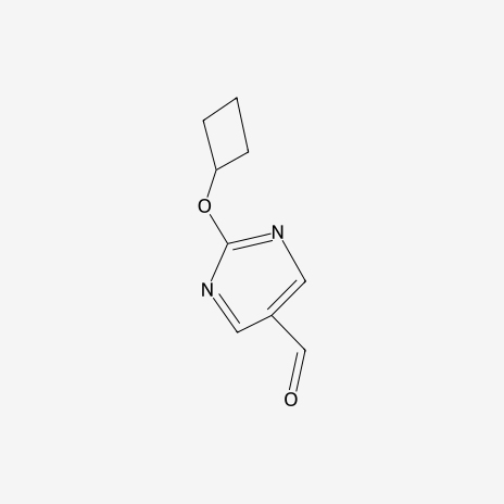 O=Cc1cnc(OC2CCC2)nc1